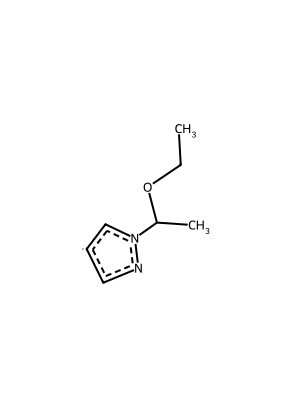 CCOC(C)n1c[c]cn1